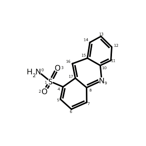 NS(=O)(=O)c1cccc2nc3ccccc3cc12